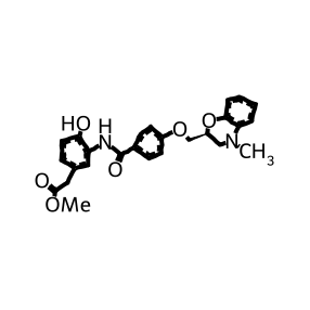 COC(=O)Cc1ccc(O)c(NC(=O)c2ccc(OC[C@@H]3CN(C)c4ccccc4O3)cc2)c1